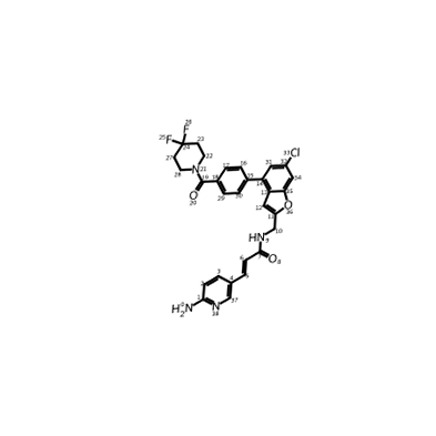 Nc1ccc(C=CC(=O)NCc2cc3c(-c4ccc(C(=O)N5CCC(F)(F)CC5)cc4)cc(Cl)cc3o2)cn1